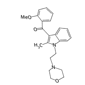 COc1ccccc1C(=O)c1c(C)n(CCN2CCOCC2)c2ccccc12